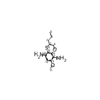 CCCC1COc2c(N)c(OC)cc(N)c2S1